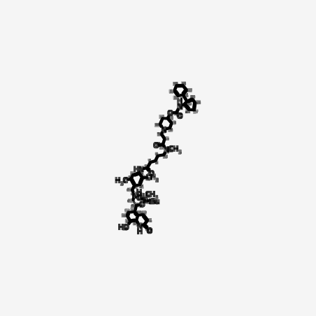 Cc1cc(NC(=O)CCCCN(C)C(=O)CCN2CCC(OC(=O)Nc3ccccc3-c3ccccc3)CC2)c(C)cc1CNC[C@H](O[Si](C)(C)C(C)(C)C)c1ccc(O)c2[nH]c(=O)ccc12